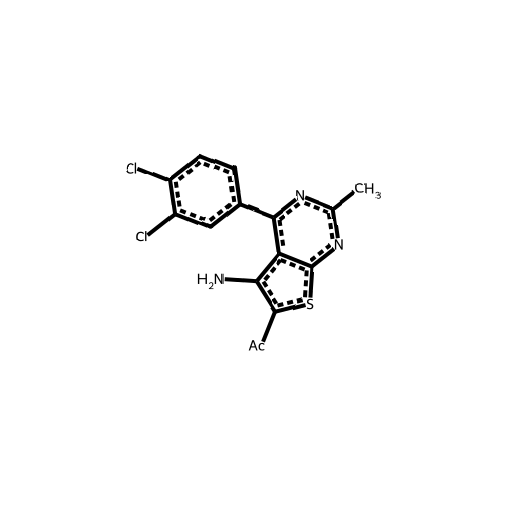 CC(=O)c1sc2nc(C)nc(-c3ccc(Cl)c(Cl)c3)c2c1N